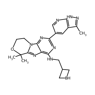 Cc1n[nH]c2ncc(-c3nc(NCC4CBC4)c4nc5n(c4n3)CCOC5(C)C)cc12